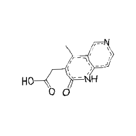 Cc1c(CC(=O)O)c(=O)[nH]c2ccncc12